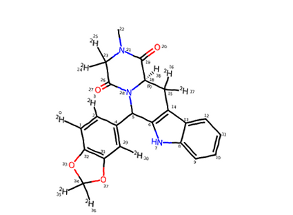 [2H]c1c([2H])c(C2c3[nH]c4ccccc4c3C([2H])([2H])[C@@H]3C(=O)N(C)C([2H])([2H])C(=O)N23)c([2H])c2c1OC([2H])([2H])O2